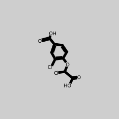 O=C(O)c1ccc(OC(Cl)C(=O)O)c(Cl)c1